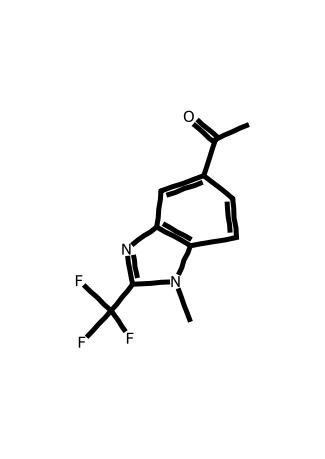 CC(=O)c1ccc2c(c1)nc(C(F)(F)F)n2C